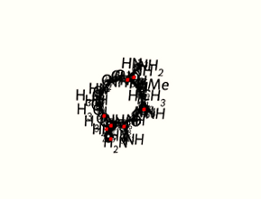 CSSC1NC(=O)[C@H](CCCNC(=N)N)NC(=O)[C@H](C)NC(=O)CNC(=O)[C@H](C)NC(=O)[C@H](C)NC(=O)[C@H](C)NC(=O)[C@H](Cc2c[nH]c3ccccc23)NC(=O)[C@H](CCCNC(=N)N)NC(=O)CNC(=O)[C@H](Cc2c[nH]cn2)N[C@H](C)NC1=O